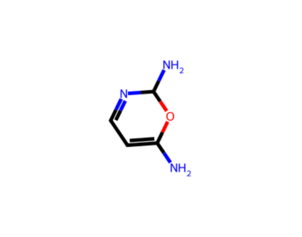 NC1=CC=NC(N)O1